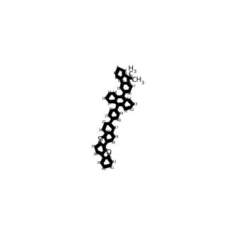 CC1(C)c2ccccc2-c2cc(-c3c4ccccc4c(-c4ccc(-c5ccc6c(ccc7c6sc6ccc8c9ccccc9oc8c67)c5)cc4)c4ccccc34)ccc21